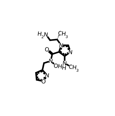 CNc1ncn([C@@H](C)CN)c1C(=O)N(O)Cc1ccon1